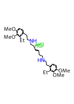 CCc1c(CCNCC/C=C/CCNCCc2ccc(OC)c(OC)c2CC)ccc(OC)c1OC.Cl.Cl